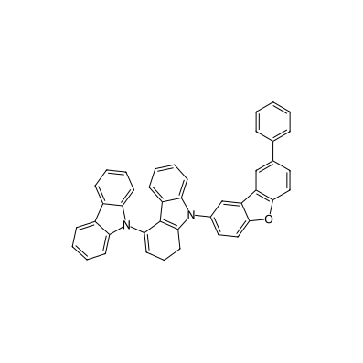 C1=C(n2c3ccccc3c3ccccc32)c2c(n(-c3ccc4oc5ccc(-c6ccccc6)cc5c4c3)c3ccccc23)CC1